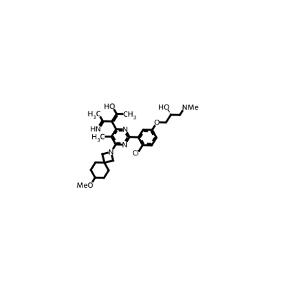 CNC[C@@H](O)COc1ccc(Cl)c(-c2nc(/C(C(C)=N)=C(\C)O)c(C)c(N3CC4(CCC(OC)CC4)C3)n2)c1